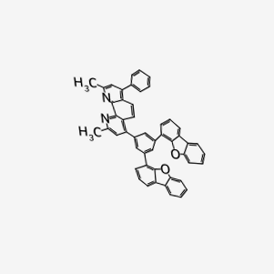 Cc1cc(-c2ccccc2)c2ccc3c(-c4cc(-c5cccc6c5oc5ccccc56)cc(-c5cccc6c5oc5ccccc56)c4)cc(C)nc3c2n1